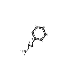 [PH2][Pd][c]1ccccc1